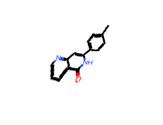 Cc1ccc(-c2cc3ncccc3c(=O)[nH]2)cc1